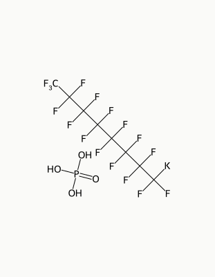 FC(F)(F)C(F)(F)C(F)(F)C(F)(F)C(F)(F)C(F)(F)C(F)(F)[C](F)(F)[K].O=P(O)(O)O